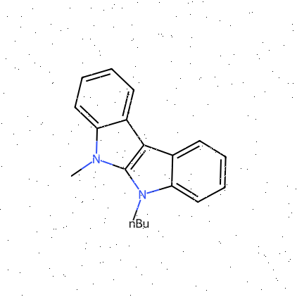 CCCCn1c2ccccc2c2c3ccccc3n(C)c21